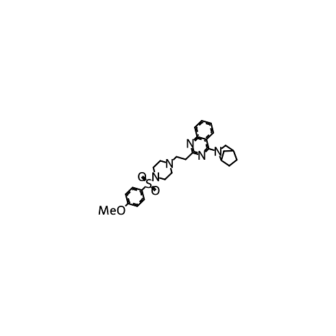 COc1ccc(S(=O)(=O)N2CCN(CCc3nc(N4CC5CCC4C5)c4ccccc4n3)CC2)cc1